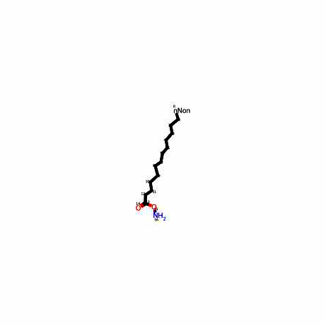 CCCCCCCCCCCCCCCCCCCCCC(=O)ON